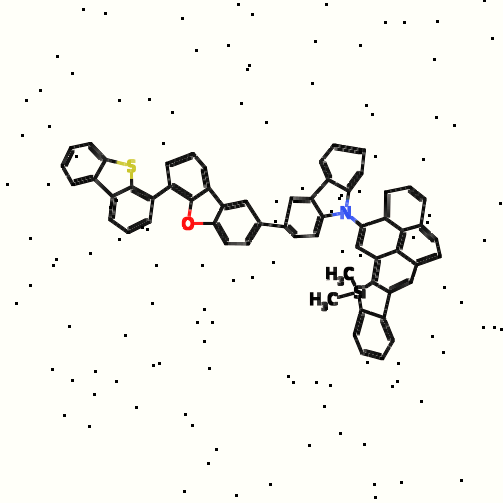 C[Si]1(C)c2ccccc2-c2cc3ccc4cccc5c(-n6c7ccccc7c7cc(-c8ccc9oc%10c(-c%11cccc%12c%11sc%11ccccc%11%12)cccc%10c9c8)ccc76)cc(c21)c3c45